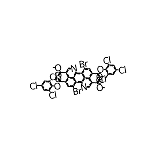 COC(=O)c1cnc2c3c(Br)cc(C(=O)Oc4c(Cl)cc(Cl)cc4Cl)c4c(C(=O)OC)cnc(c5c(Br)cc(C(=O)Oc6c(Cl)cc(Cl)cc6Cl)c1c25)c43